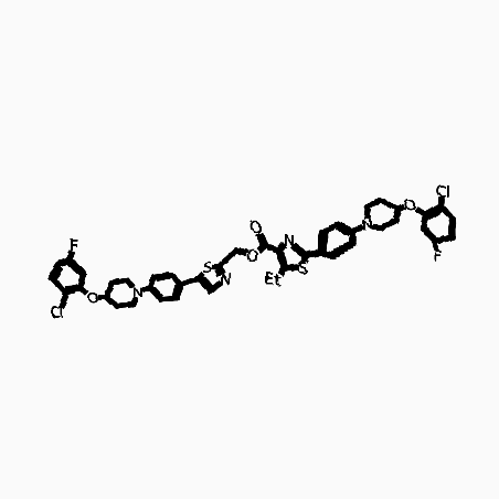 CCc1sc(-c2ccc(N3CCC(Oc4cc(F)ccc4Cl)CC3)cc2)nc1C(=O)OCc1ncc(-c2ccc(N3CCC(Oc4cc(F)ccc4Cl)CC3)cc2)s1